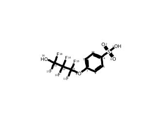 O=S(=O)(O)c1ccc(OC(F)(F)C(F)(F)C(O)(F)F)cc1